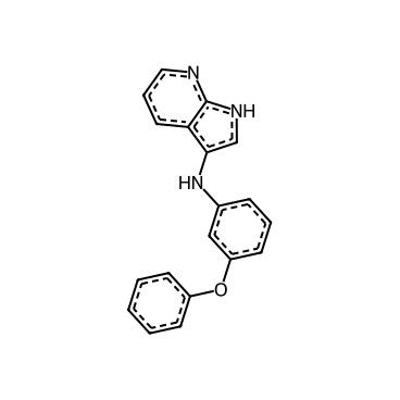 c1ccc(Oc2cccc(Nc3c[nH]c4ncccc34)c2)cc1